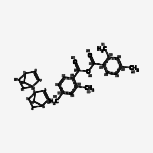 C1=CC2CCC1C2.C1=CC2CCC1C2.Cc1ccc(C(=O)OC(=O)c2ccc(C)cc2C)c(C)c1